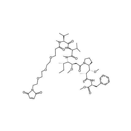 CC[C@H](C)[C@@H]([C@@H](CC(=O)N1CCC[C@H]1[C@H](OC)[C@@H](C)C(=S)N[C@@H](Cc1ccccc1)C(=O)OC)OC)N(C)C(=O)[C@@H](NC(=O)[C@H](C(C)C)N(C)C(=O)CCOCCOCCOCCN1C(=O)C=CC1=O)C(C)C